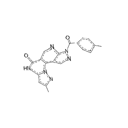 Cc1ccc(C(=O)n2ncc3c2ncc2c(=O)[nH]c4cc(C)nn4c23)cc1